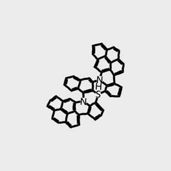 c1cc2c3c(c1)[SH]1c4cccc5c4N(c4c1c(cc1ccccc41)N3c1cc3cccc4ccc6ccc-2c1c6c43)c1cc2cccc3ccc4ccc-5c1c4c32